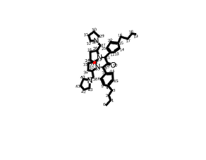 CCCCc1ccc([C@@H](C(=O)[C@H](c2ccc(CCCC)cc2)N2CCCC2CN2CCCC2)N2CCCC2CN2CCCC2)cc1